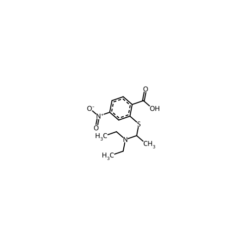 CCN(CC)C(C)Sc1cc([N+](=O)[O-])ccc1C(=O)O